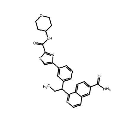 CCC(c1cccc(-c2csc(C(=O)NC3CCOCC3)n2)c1)c1nccc2cc(C(N)=O)ccc12